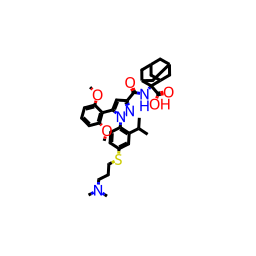 COc1cccc(OC)c1-c1cc(C(=O)NC2(C(=O)O)C3CC4CC(C3)CC2C4)nn1-c1ccc(SCCCN(C)C)cc1C(C)C